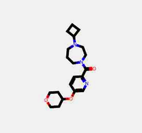 O=C(c1ccc(OC2CCOCC2)cn1)N1CCCN(C2CCC2)CC1